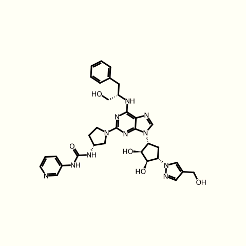 O=C(Nc1cccnc1)N[C@@H]1CCN(c2nc(N[C@H](CO)Cc3ccccc3)c3ncn([C@@H]4C[C@H](n5cc(CO)cn5)[C@@H](O)[C@H]4O)c3n2)C1